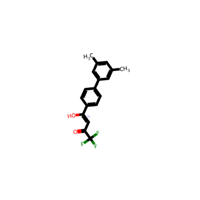 Cc1cc(C)cc(-c2ccc(/C(O)=C/C(=O)C(F)(F)F)cc2)c1